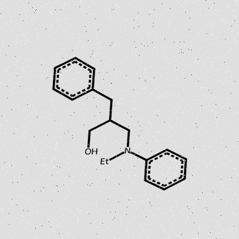 CCN(CC(CO)Cc1ccccc1)c1ccccc1